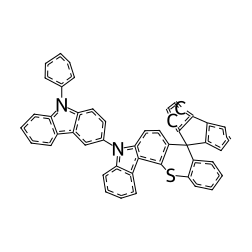 c1ccc(-n2c3ccccc3c3cc(-n4c5ccccc5c5c6c(ccc54)C4(c5ccccc5S6)c5ccccc5-c5ccccc54)ccc32)cc1